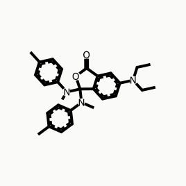 CCN(CC)c1ccc2c(c1)C(=O)OC2(N(C)c1ccc(C)cc1)N(C)c1ccc(C)cc1